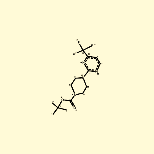 CC(C)(C)OC(=O)N1CCN(c2nccc(C(F)(F)F)n2)CC1